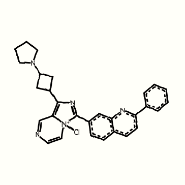 Cl[N+]12C=CN=CC1=C(C1CC(N3CCCC3)C1)N=C2c1ccc2ccc(-c3ccccc3)nc2c1